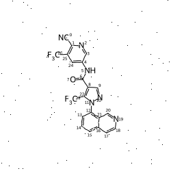 N#Cc1ncc(NC(=O)c2cnn(-c3cccc4ccncc34)c2C(F)(F)F)cc1C(F)(F)F